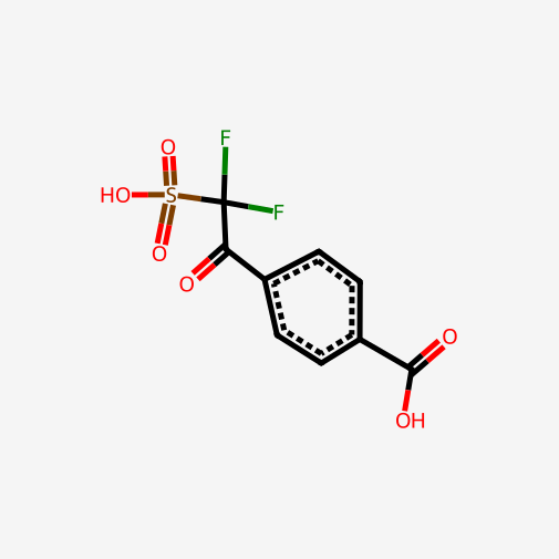 O=C(O)c1ccc(C(=O)C(F)(F)S(=O)(=O)O)cc1